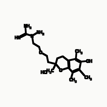 Cc1c(C)c2c(c(C)c1O)CCC(C)(CCOCCN(N)C(=N)N)O2.Cl